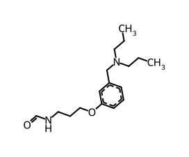 CCCN(CCC)Cc1cccc(OCCCNC=O)c1